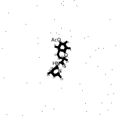 CC(=O)Oc1c(C)c(C)c2c(c1C)CCC(C)(C(=S)Nc1cc(C)cc(C)n1)O2